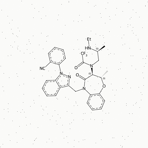 CCN[C@@H](C)CN(C(=O)C(F)(F)F)[C@@H]1C(=O)N(Cc2nn(-c3ccccc3C#N)c3ccccc23)c2ccccc2O[C@H]1C